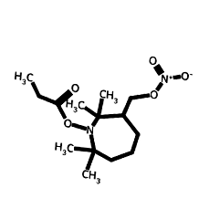 CCC(=O)ON1C(C)(C)CCCC(CO[N+](=O)[O-])C1(C)C